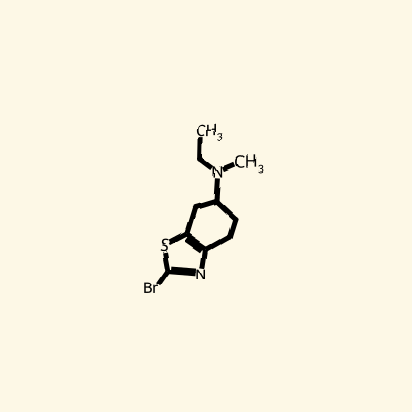 CCN(C)C1CCc2nc(Br)sc2C1